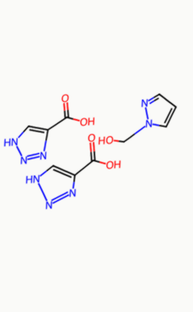 O=C(O)c1c[nH]nn1.O=C(O)c1c[nH]nn1.OCn1cccn1